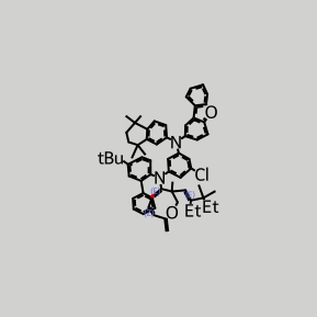 C=C1/C=C\C=C(\N(c2cc(Cl)cc(N(c3ccc4c(c3)C(C)(C)CCC4(C)C)c3ccc4oc5ccccc5c4c3)c2)c2ccc(C(C)(C)C)cc2-c2ccccc2)C(C)(/C=C(\CC)C(C)(C)CC)CO1